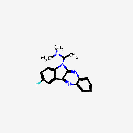 CC(N(C)C)n1c2ccc(F)cc2c2nc3ccccc3nc21